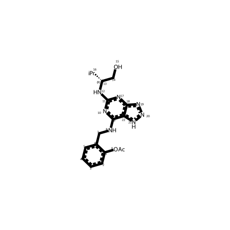 CC(=O)Oc1ccccc1CNc1nc(N[C@@H](CO)C(C)C)nc2nn[nH]c12